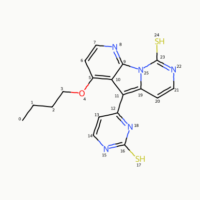 CCCCOc1ccnc2c1c(-c1ccnc(S)n1)c1ccnc(S)n12